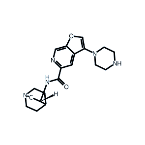 O=C(N[C@H]1CN2CCC1CC2)c1cc2c(N3CCNCC3)coc2cn1